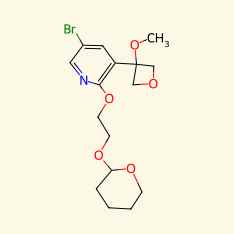 COC1(c2cc(Br)cnc2OCCOC2CCCCO2)COC1